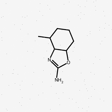 CC1CCCC2OC(N)=NC12